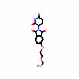 O=CCOCCOc1ccc2c(c1)C(=O)N(C1CCC(=O)NC1=O)C2=O